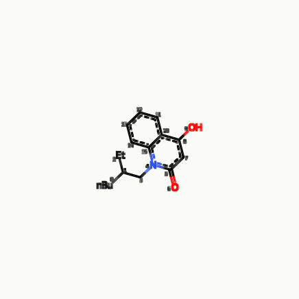 CCCCC(CC)Cn1c(=O)cc(O)c2ccccc21